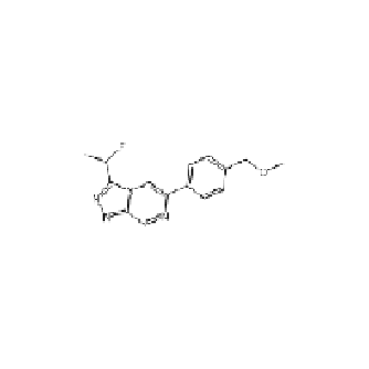 COCc1ccc(-c2cn3c(C(C)F)nnc3cn2)cc1